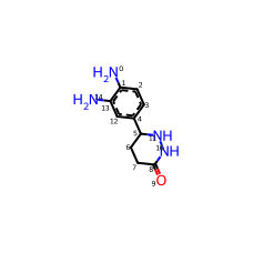 Nc1ccc(C2CCC(=O)NN2)cc1N